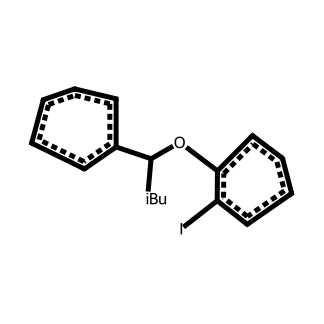 CCC(C)C(Oc1ccccc1I)c1ccccc1